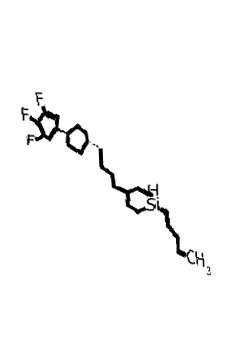 CCCCC[SiH]1CCC(CCCC[C@H]2CC[C@H](c3cc(F)c(F)c(F)c3)CC2)CC1